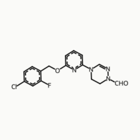 O=CN1CCN(c2cccc(OCc3ccc(Cl)cc3F)n2)C=N1